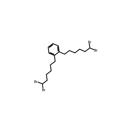 BrC(Br)CCCCCc1ccccc1CCCCCC(Br)Br